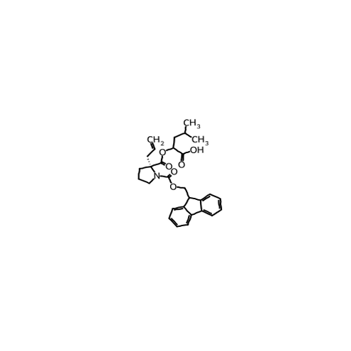 C=CC[C@@]1(C(=O)OC(CC(C)C)C(=O)O)CCCN1C(=O)OCC1c2ccccc2-c2ccccc21